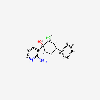 Cl.Nc1ncccc1C1(O)CCC(c2ccccc2)CC1